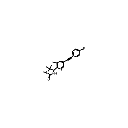 CN1C(=O)NC(c2ncc(C#Cc3ccc(F)cc3)cc2F)C1(C)C